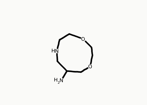 NC1CNCCOCCOC1